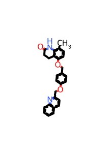 Cc1ccc(OCc2ccc(OCc3ccc4ccccc4n3)cc2)c2c1NC(=O)CC2